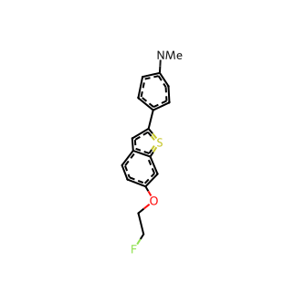 CNc1ccc(-c2cc3ccc(OCCF)cc3s2)cc1